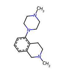 CN1CCN(c2cccc3c2CCN(C)C3)CC1